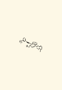 Cc1cccc(C#CC(C)(C)NC(=O)c2cnc3c(F)cccc3c2)c1